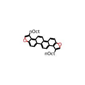 CCCCCCCCc1coc2ccc3c4ccc5c(ccc6occ(CCCCCCCC)c65)c4ccc3c12